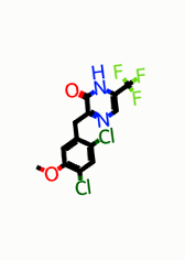 COc1cc(Cc2ncc(C(F)(F)F)[nH]c2=O)c(Cl)cc1Cl